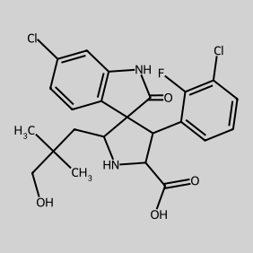 CC(C)(CO)CC1NC(C(=O)O)C(c2cccc(Cl)c2F)C12C(=O)Nc1cc(Cl)ccc12